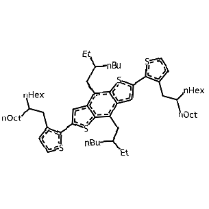 CCCCCCCCC(CCCCCC)Cc1ccsc1-c1cc2c(CC(CC)CCCC)c3sc(-c4sccc4CC(CCCCCC)CCCCCCCC)cc3c(CC(CC)CCCC)c2s1